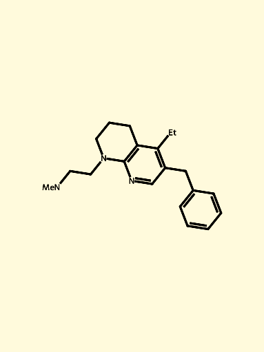 CCc1c(Cc2ccccc2)cnc2c1CCCN2CCNC